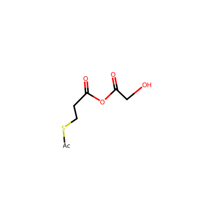 CC(=O)SCCC(=O)OC(=O)CO